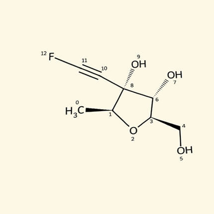 C[C@@H]1O[C@H](CO)[C@@H](O)[C@]1(O)C#CF